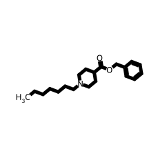 CCCCCCCN1CCC(C(=O)OCc2ccccc2)CC1